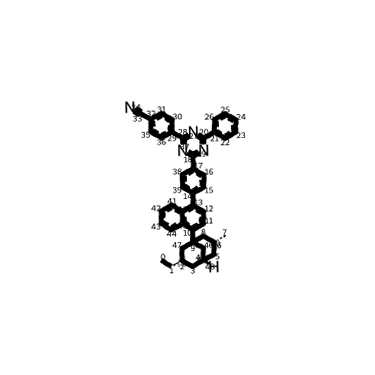 CC[C@H]1C[C@H]2C[C@@H](C)CC(c3ccc(-c4ccc(-c5nc(-c6ccccc6)nc(-c6ccc(C#N)cc6)n5)cc4)c4ccccc34)(C2)C1